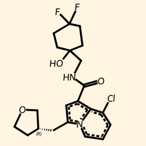 O=C(NCC1(O)CCC(F)(F)CC1)c1cc(C[C@@H]2CCOC2)n2cccc(Cl)c12